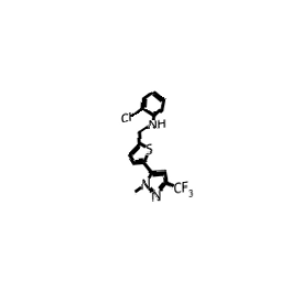 Cn1nc(C(F)(F)F)cc1-c1ccc(CNc2ccccc2Cl)s1